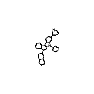 c1ccc(-n2c3cc(-c4cccnc4)ccc3c3c4ccccc4c(-c4ccc5ccccc5c4)cc32)cc1